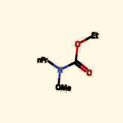 CCCN(OC)C(=O)OCC